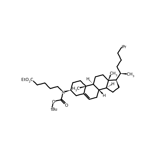 CCOC(=O)CCCCN(C(=O)OC(C)(C)C)[C@H]1CC[C@@]2(C)C(=CC[C@H]3[C@@H]4CC[C@H]([C@H](C)CCCC(C)C)[C@@]4(C)CC[C@@H]32)C1